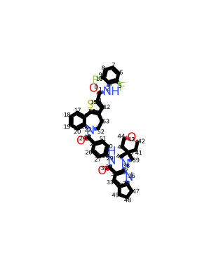 O=C(Nc1c(F)cccc1F)c1cc2c(s1)-c1ccccc1N(C(=O)c1ccc(NC(=O)c3cc4c(nc3N3CC5(CCOCC5)C3)CCC4)cc1)CC2